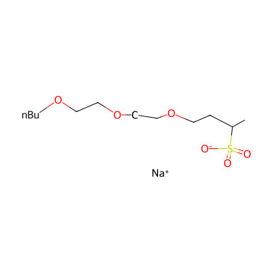 CCCCOCCOCCOCCC(C)S(=O)(=O)[O-].[Na+]